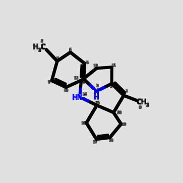 C/C1=C(/NC2=CCC(C)C=C2)CCCNC2CC=CCC12